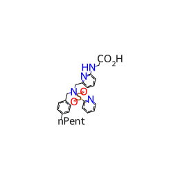 CCCCCc1ccc(CN(Cc2cccc(NCC(=O)O)n2)S(=O)(=O)c2ccccn2)cc1